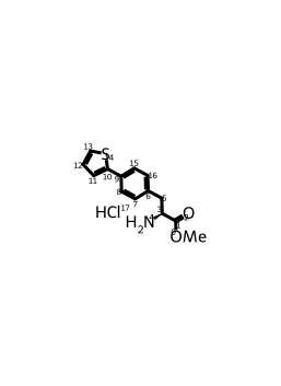 COC(=O)[C@@H](N)Cc1ccc(-c2cccs2)cc1.Cl